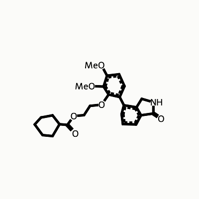 COc1ccc(-c2cccc3c2CNC3=O)c(OCCOC(=O)C2CCCCC2)c1OC